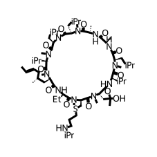 C/C=C/C[C@@H](C)C[C@@H]1C(=O)N[C@H](CC)C(=O)N(C)[C@H](CSCCCNC(C)C)C(=O)N(C)[C@@H](CC(C)(C)O)C(=O)N[C@H](C(C)C)C(=O)N(C)[C@H](CC(C)C)C(=O)N[C@H](C)C(=O)N[C@@H](C)C(=O)N(C)[C@@H](CC(C)C)C(=O)N(C)[C@H](CC(C)C)C(=O)N(C)[C@H](C(C)C)C(=O)N1C